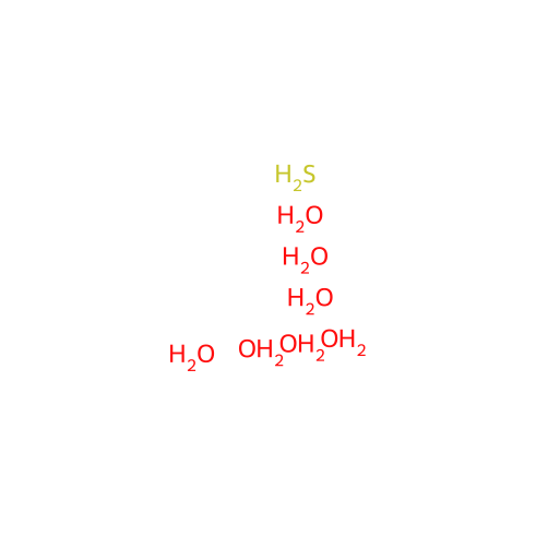 O.O.O.O.O.O.O.S